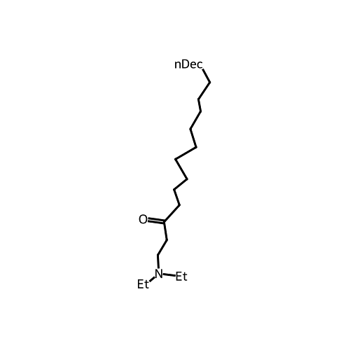 CCCCCCCCCCCCCCCCCCCC(=O)CCN(CC)CC